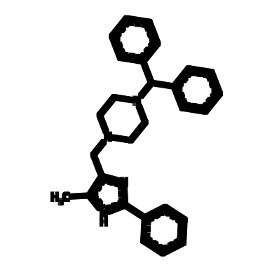 Cc1[nH]c(-c2ccccc2)nc1CN1CCN(C(c2ccccc2)c2ccccc2)CC1